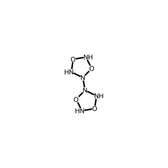 [nH]1o[nH]n(-n2[nH]o[nH]o2)o1